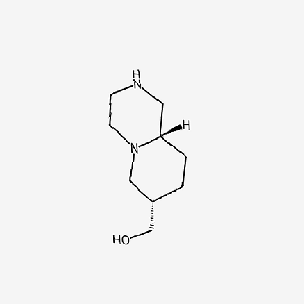 OC[C@H]1CC[C@H]2CNCCN2C1